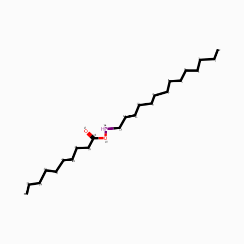 CCCCCCCCCCCCCCPOC(=O)CCCCCCCCC